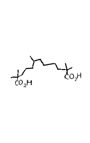 CC(CCCCC(C)(C)C(=O)O)CCCC(C)(C)C(=O)O